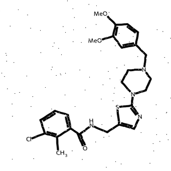 COc1ccc(CN2CCN(c3ncc(CNC(=O)c4cccc(Cl)c4C)s3)CC2)cc1OC